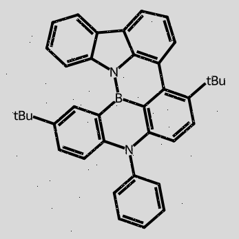 CC(C)(C)c1ccc2c(c1)B1c3c(ccc(C(C)(C)C)c3-c3cccc4c5ccccc5n1c34)N2c1ccccc1